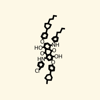 CCCCc1ccc(Nc2cc(Oc3ccc(C4CCC(CCCC)CC4)cc3)c(O)c3c2C(=O)c2c(O)c(Oc4ccc(C5CCC(C)CC5)cc4)cc(Nc4ccc(Cl)cc4)c2C3=O)cc1